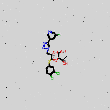 C[C@@H](O)C(CO)OC(Sc1ccc(Cl)c(Cl)c1)[C@@H](O)Cn1cc(-c2cncc(Cl)c2)nn1